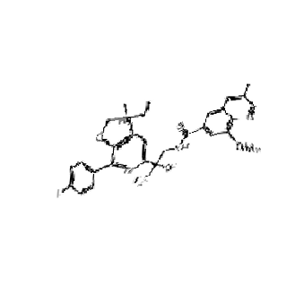 COc1cc(C(=O)NCC(O)(c2cc3c(c(-c4ccc(F)cc4)n2)OC[C@]3(C)CF)C(F)(F)F)cc2cc(C)cnc12